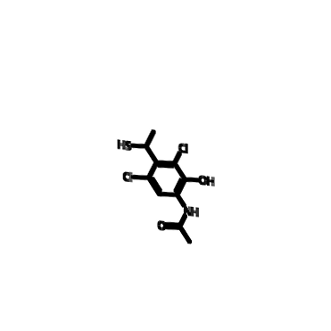 CC(=O)Nc1cc(Cl)c(C(C)S)c(Cl)c1O